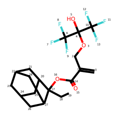 C=C(COC(O)(C(F)(F)F)C(F)(F)F)C(=O)OC1(CC)C2CC3CC(C2)CC1C3